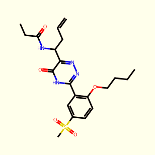 C=CCC(NC(=O)CC)c1nnc(-c2cc(S(C)(=O)=O)ccc2OCCCC)[nH]c1=O